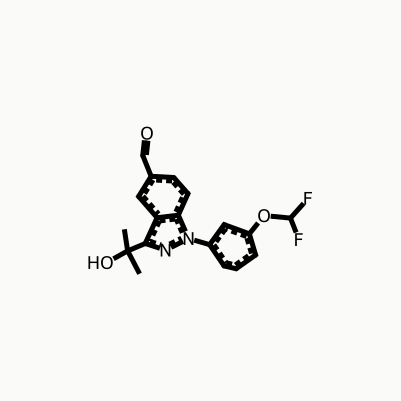 CC(C)(O)c1nn(-c2cccc(OC(F)F)c2)c2ccc(C=O)cc12